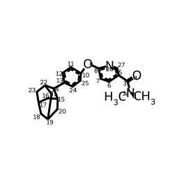 CN(C)C(=O)c1ccc(Oc2ccc(C3C4CC5CC(C4)CC3C5)cc2)nc1